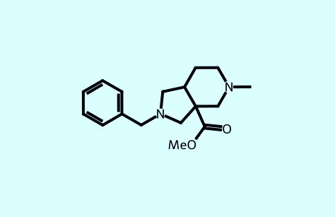 COC(=O)C12CN(C)CCC1CN(Cc1ccccc1)C2